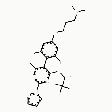 C[C@@H](Nc1nc(-n2cccn2)nc(Cl)c1-c1c(F)cc(OCCCN(C)C)cc1F)C(F)(F)F